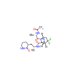 CC(C)(C)[C@H](NC(=O)C(F)(F)F)C(=O)N1[C@@H]2CC[C@H]([C@@H]1C(=O)N[C@H](C#N)C[C@@H]1CCCNC1=O)C(F)(F)C2